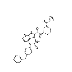 C=CC(=O)N1CCC[C@@H](NC(=O)c2sc3nccc4c3c2NC(=O)N4c2ccc(Cc3ccccc3)cc2)C1